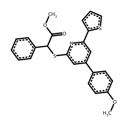 COC(=O)C(Sc1cc(-c2ccc(OC)cc2)cc(-c2cccs2)n1)c1ccccc1